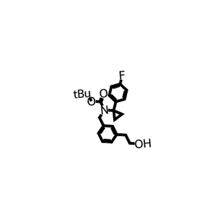 CC(C)(C)OC(=O)N(Cc1cccc(CCO)c1)C1(c2ccc(F)cc2)CC1